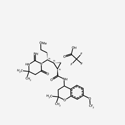 COCC[C@H]([C@@H]1C[C@H]1C(=O)NC1CC(C)(C)Oc2cc(OC(F)(F)F)ccc21)N1C(=N)NC(C)(C)CC1=O.O=C(O)C(F)(F)F